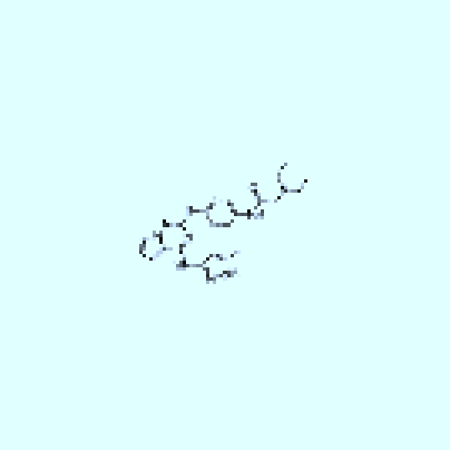 CCN(CC)CC(=O)Nc1ccc(Sc2nc(Nc3cc(C)[nH]n3)c3cccn3n2)cc1